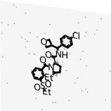 CC[C@@H]1CC[C@H](C(=O)NC(c2ccc(Cl)cc2)C2COC2)N1C(=O)c1cccc(S(=O)(=O)CC)c1